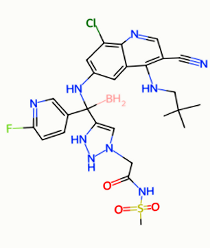 BC(Nc1cc(Cl)c2ncc(C#N)c(NCC(C)(C)C)c2c1)(C1=CN(CC(=O)NS(C)(=O)=O)NN1)c1ccc(F)nc1